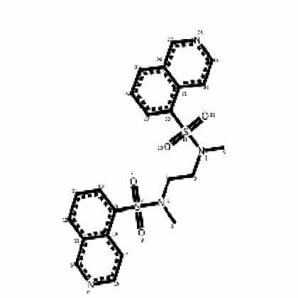 CN(CCN(C)S(=O)(=O)c1cccc2cnccc12)S(=O)(=O)c1cccc2cnccc12